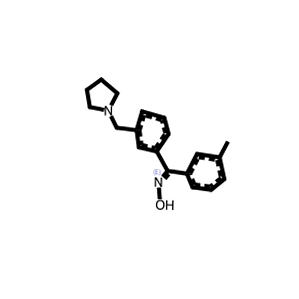 Cc1cccc(/C(=N\O)c2cccc(CN3CCCC3)c2)c1